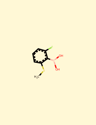 CSc1cccc(F)c1B(O)O